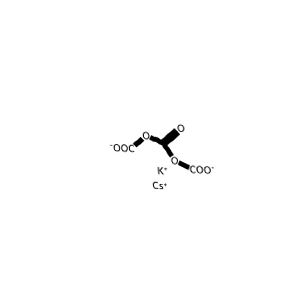 O=C([O-])OC(=O)OC(=O)[O-].[Cs+].[K+]